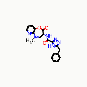 CN1C[C@H](NC(=O)c2nnc(Cc3ccccc3)[nH]2)C(=O)Oc2cccnc21